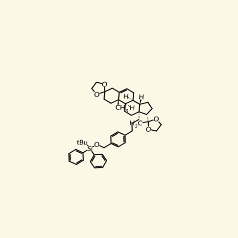 CC1([C@H]2CC[C@H]3[C@@H]4CC=C5CC6(CC[C@@]5(C)[C@@H]4CC[C@]23CCCc2ccc(CO[Si](c3ccccc3)(c3ccccc3)C(C)(C)C)cc2)OCCO6)OCCO1